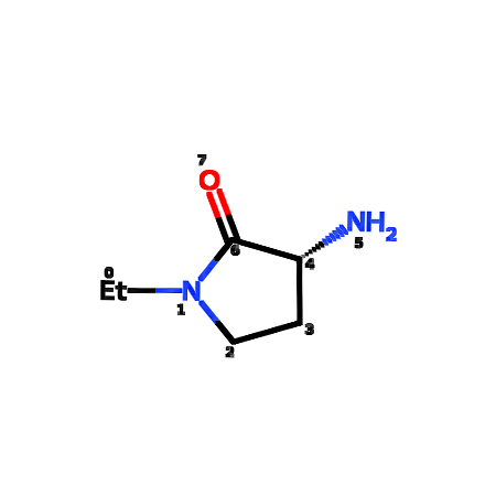 CCN1CC[C@@H](N)C1=O